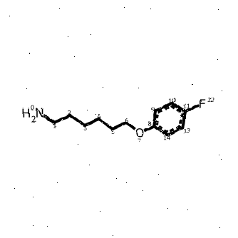 NCCCCCCOc1ccc(F)cc1